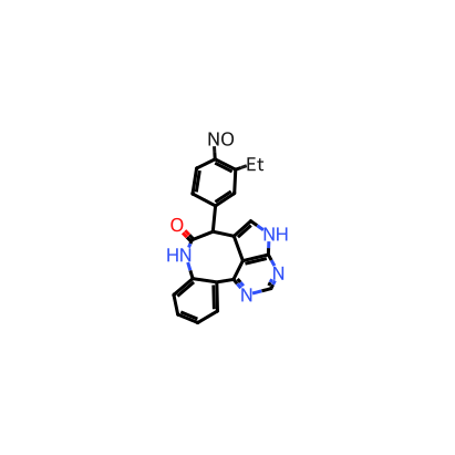 CCc1cc(C2C(=O)Nc3ccccc3-c3ncnc4[nH]cc2c34)ccc1N=O